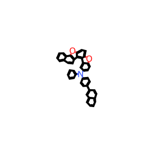 c1ccc(N(c2ccc(-c3ccc4ccccc4c3)cc2)c2ccc3oc4ccc5oc6c7ccccc7ccc6c5c4c3c2)cc1